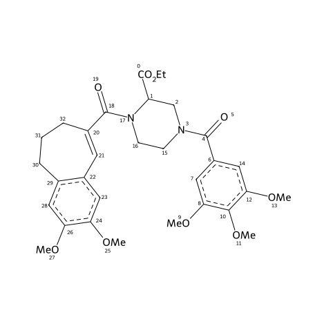 CCOC(=O)C1CN(C(=O)c2cc(OC)c(OC)c(OC)c2)CCN1C(=O)C1=Cc2cc(OC)c(OC)cc2CCC1